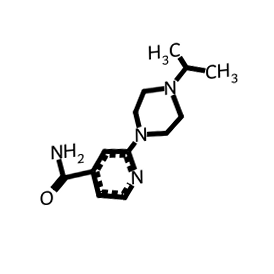 CC(C)N1CCN(c2cc(C(N)=O)ccn2)CC1